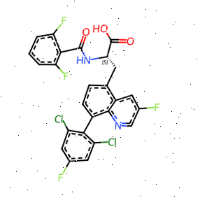 O=C(N[C@@H](Cc1ccc(-c2c(Cl)cc(F)cc2Cl)c2ncc(F)cc12)C(=O)O)c1c(F)cccc1F